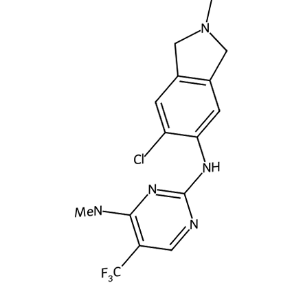 CNc1nc(Nc2cc3c(cc2Cl)CN(C)C3)ncc1C(F)(F)F